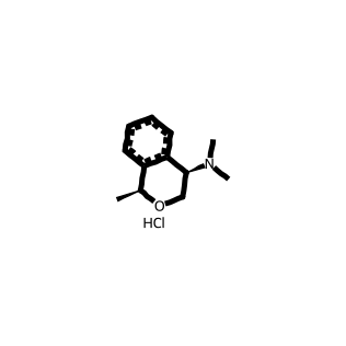 C[C@@H]1OC[C@H](N(C)C)c2ccccc21.Cl